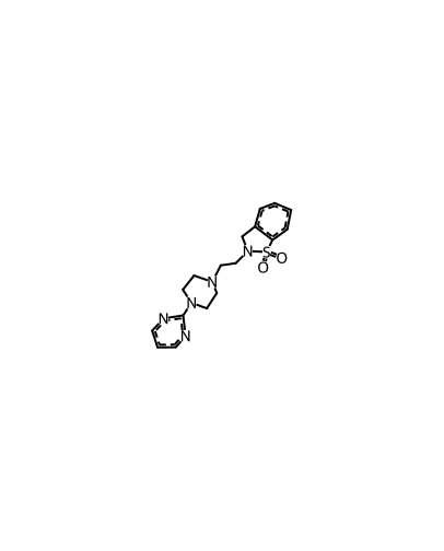 O=S1(=O)c2ccccc2CN1CCN1CCN(c2ncccn2)CC1